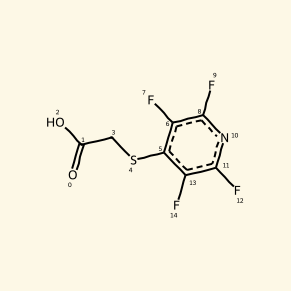 O=C(O)CSc1c(F)c(F)nc(F)c1F